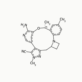 Cc1ccc2c(c1)[C@@H](C)Oc1cc(cnc1N)-c1c(nn(C)c1C#N)CC1CCN21